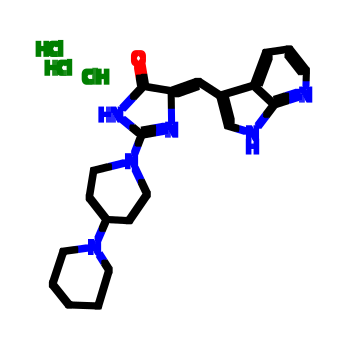 Cl.Cl.Cl.O=C1NC(N2CCC(N3CCCCC3)CC2)=NC1=Cc1c[nH]c2ncccc12